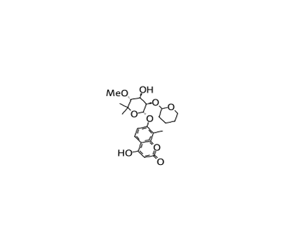 CO[C@@H]1[C@@H](O)[C@@H](OC2CCCCO2)[C@H](Oc2ccc3c(O)cc(=O)oc3c2C)OC1(C)C